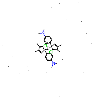 CC1=C[C](c2ccc(N(C)C)cc2)([Zr]([Cl])([Cl])[C]2(c3ccc(N(C)C)cc3)C=C(C)C(C)=C2)C=C1C